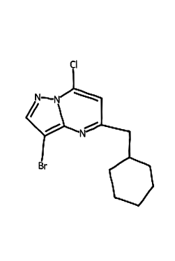 Clc1cc(CC2CCCCC2)nc2c(Br)cnn12